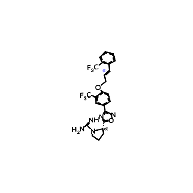 N=C(N)N1CCC[C@H]1c1nc(-c2ccc(OC/C=C/c3ccccc3C(F)(F)F)c(C(F)(F)F)c2)no1